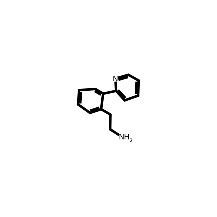 NCCc1ccccc1-c1ccccn1